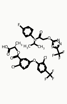 CC(C)N(C(=O)COc1nnc(C(F)(F)F)s1)c1ccc(F)cc1.C[C@H](OC(=O)c1cc(Oc2ccc(C(F)(F)F)cc2Cl)ccc1Cl)C(=O)O